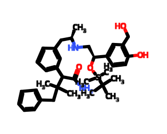 C[C@H](Cc1cccc(C(C(N)=O)C(C)(C)Cc2ccccc2)c1)NC[C@H](O[Si](C)(C)C(C)(C)C)c1ccc(O)c(CO)c1